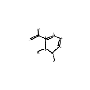 C=C(C)C1=NC=CC(C)C1C